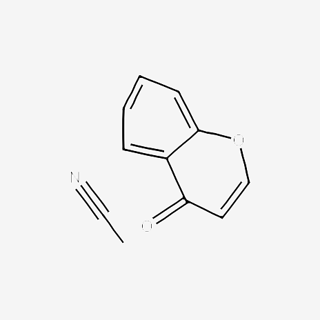 CC#N.O=c1ccoc2ccccc12